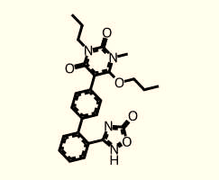 CCCOc1c(-c2ccc(-c3ccccc3-c3nc(=O)o[nH]3)cc2)c(=O)n(CCC)c(=O)n1C